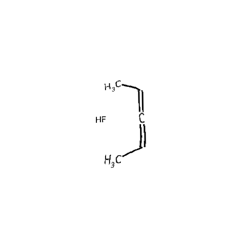 CC=C=CC.F